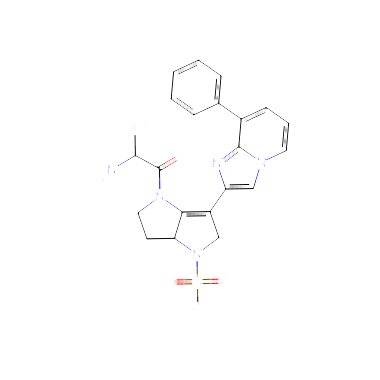 CC(C)(C)C(N)C(=O)N1CCC2C1=C(c1cn3cccc(-c4ccccc4)c3n1)CN2S(C)(=O)=O